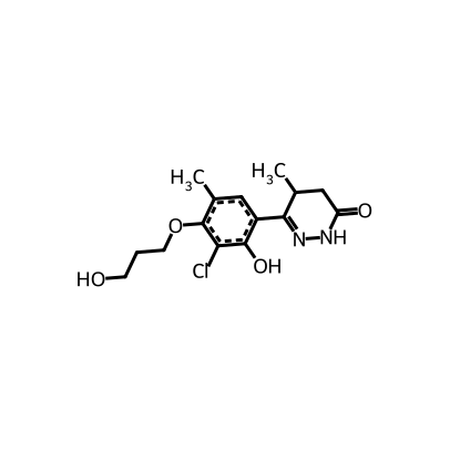 Cc1cc(C2=NNC(=O)CC2C)c(O)c(Cl)c1OCCCO